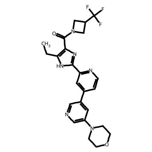 CCc1[nH]c(-c2cc(-c3cncc(N4CCOCC4)c3)ccn2)nc1C(=O)N1CC(C(F)(F)F)C1